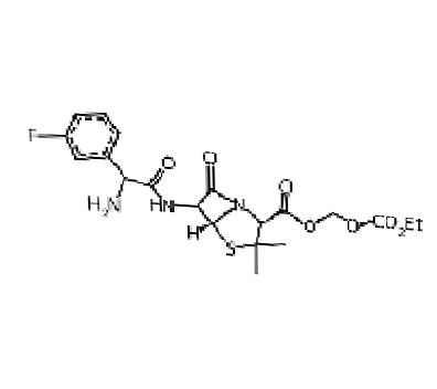 CCOC(=O)OCOC(=O)[C@@H]1N2C(=O)C(NC(=O)C(N)c3cccc(F)c3)[C@H]2SC1(C)C